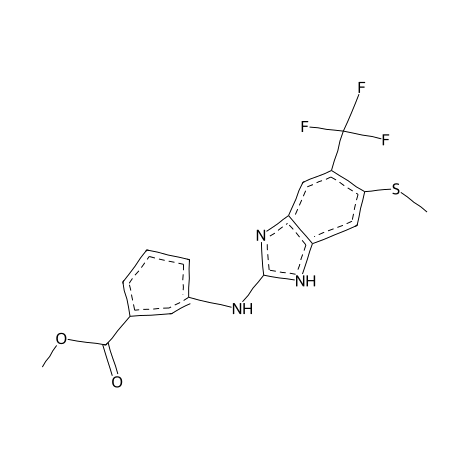 COC(=O)c1cccc(Nc2nc3cc(C(F)(F)F)c(SC)cc3[nH]2)c1